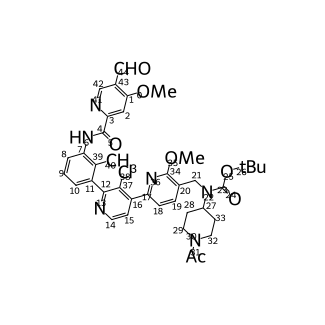 COc1cc(C(=O)Nc2cccc(-c3nccc(-c4ccc(CN(C(=O)OC(C)(C)C)C5CCN(C(C)=O)CC5)c(OC)n4)c3Cl)c2C)ncc1C=O